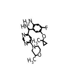 CC1CN(c2cc(C(=N)c3cc(OC4(C)CC4)c(F)cc3N)ncn2)CCO1